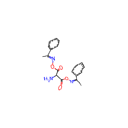 CC(=NOC(=O)C(N)C(=O)ON=C(C)c1ccccc1)c1ccccc1